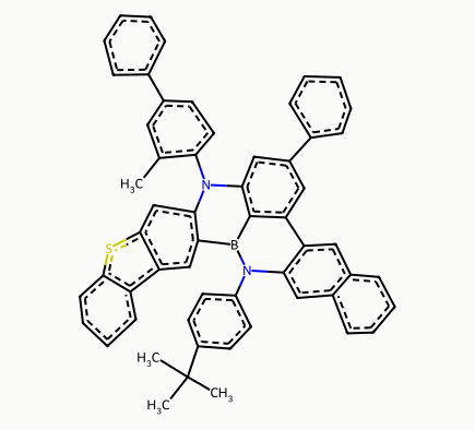 Cc1cc(-c2ccccc2)ccc1N1c2cc3sc4ccccc4c3cc2B2c3c(cc(-c4ccccc4)cc31)-c1cc3ccccc3cc1N2c1ccc(C(C)(C)C)cc1